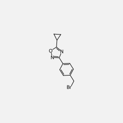 BrCc1ccc(-c2noc(C3CC3)n2)cc1